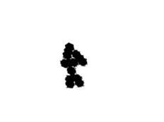 c1ccc2cc3cc(-c4c5ccccc5c(-c5ccc(-n6c7ccc8ccccc8c7c7c8ccccc8ccc76)cc5)c5ccc(-c6c7ccccc7cc7ccccc67)cc45)ccc3cc2c1